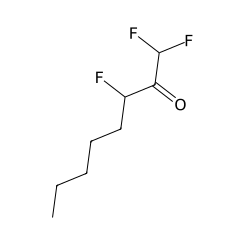 CCCCCC(F)C(=O)C(F)F